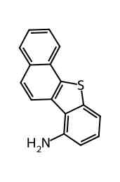 Nc1cccc2sc3c4ccccc4ccc3c12